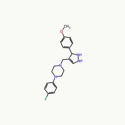 COc1ccc(C2NNC=C2CN2CCN(c3ccc(F)cc3)CC2)cc1